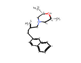 CC(Cc1ccc2ccccc2c1)CN1C[C@@H](C)O[C@@H](C)C1